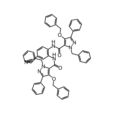 N#Cc1ccc(NC(=O)c2c(OCc3ccccc3)c(-c3ccccc3)nn2Cc2ccccc2)c(NC(=O)c2c(OCc3ccccc3)c(-c3ccccc3)nn2Cc2ccccc2)c1